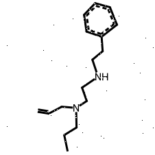 C=CCN(CCC)CCNCCc1ccccc1